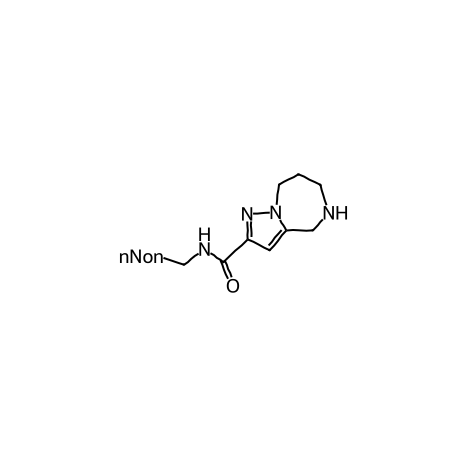 CCCCCCCCCCNC(=O)c1cc2n(n1)CCCNC2